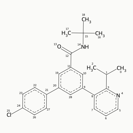 CC(C)c1ncccc1-c1cc(C(=O)NC(C)(C)C)cc(-c2ccc(Cl)cc2)c1